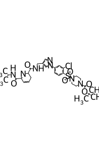 CC(C)NC(=O)C1=NC(C(=O)NCc2cnn(-c3ccc(S(=O)(=O)N4CCN(C(=O)OC(C)(C)C)CC4)c(Cl)c3)c2)CC=C1